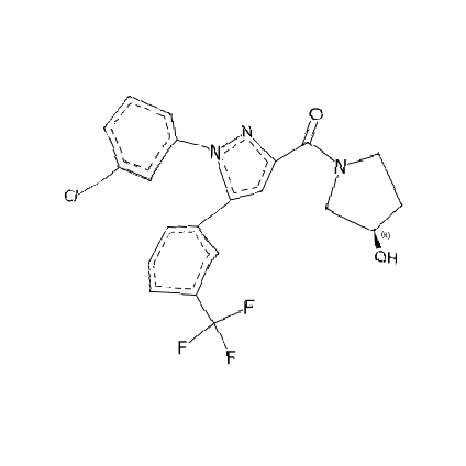 O=C(c1cc(-c2cccc(C(F)(F)F)c2)n(-c2cccc(Cl)c2)n1)N1CC[C@@H](O)C1